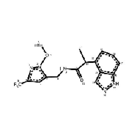 CCCCOn1nc(C(F)(F)F)cc1CNC(=O)C(C)c1cccc2[nH]ncc12